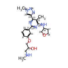 CNCC(O)COc1cccc(-c2nc(NC3CCOC3)c(C)c(-c3cn(C)nn3)n2)c1